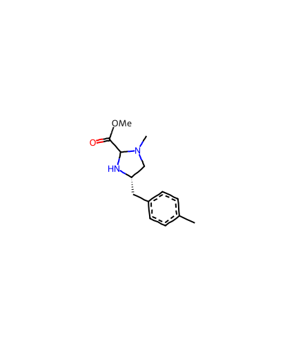 COC(=O)C1N[C@@H](Cc2ccc(C)cc2)CN1C